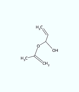 C=CC(O)OC(=C)C